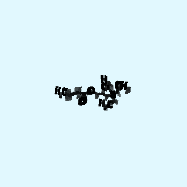 C=C[Si](C=C)(C=C)CCCOC(=O)C=CC